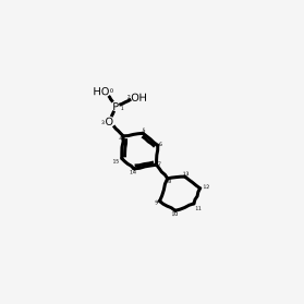 OP(O)Oc1ccc(C2CCCCC2)cc1